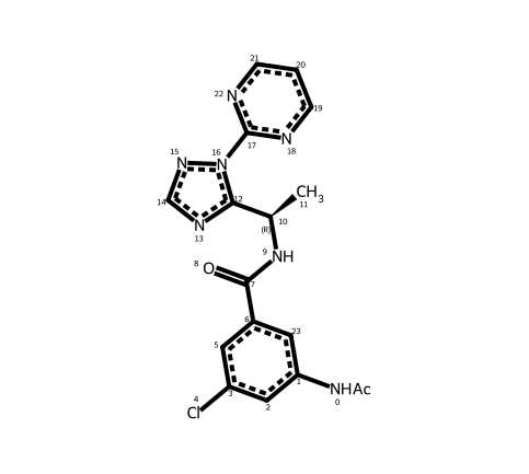 CC(=O)Nc1cc(Cl)cc(C(=O)N[C@H](C)c2ncnn2-c2ncccn2)c1